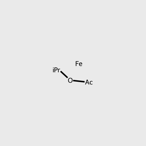 CC(=O)OC(C)C.[Fe]